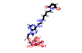 C[C@H](Cn1cnc2c(NCCNCCCCCN3C(=O)C=CC3=O)ncnc21)OCP(=O)(O)OP(=O)(O)OP(=O)(O)O